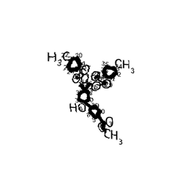 COC(=O)c1ccc(C2(O)CCC(COS(=O)(=O)c3ccc(C)cc3)(COS(=O)(=O)c3ccc(C)cc3)CC2)cc1